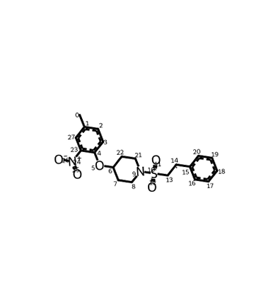 Cc1ccc(OC2CCN(S(=O)(=O)C[CH]c3ccccc3)CC2)c([N+](=O)[O-])c1